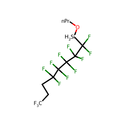 CCCO[SiH2]C(F)(F)C(F)(F)C(F)(F)C(F)(F)C(F)(F)CCC(F)(F)F